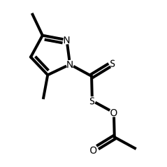 CC(=O)OSC(=S)n1nc(C)cc1C